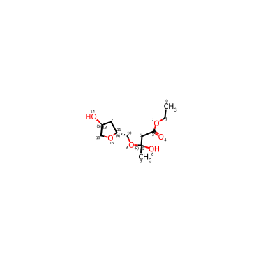 CCOC(=O)C[C@](C)(O)OC[C@H]1C[C@H](O)CO1